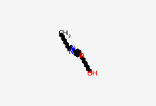 CCCCCCCCc1cnc(-c2ccc(OCCCCCCCCO)cc2)nc1